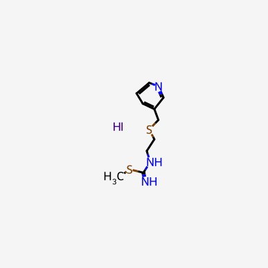 CSC(=N)NCCSCc1cccnc1.I